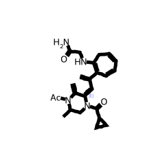 C=C(/C=C1\C(=C)N(C(C)=O)C(C)CN1C(=O)C1CC1)C1=C(NCC(N)=O)CC=CC=C1